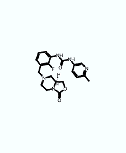 Cc1ccc(NC(=O)Nc2cccc(CN3CCN4C(=O)OC[C@@H]4C3)c2F)cn1